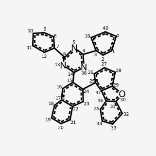 c1ccc(-c2nc(-c3ccccc3)nc(-c3cc4ccccc4cc3-c3cccc4oc5ccccc5c34)n2)cc1